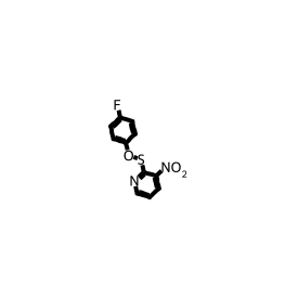 O=[N+]([O-])c1cccnc1SOc1ccc(F)cc1